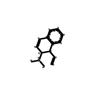 C=CC1c2ccccc2C=CC1N(C)C